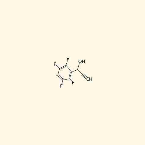 C#CC(O)c1c(F)c(F)[c]c(F)c1F